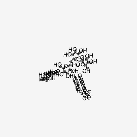 O.O.O.O.O.O.O.O.O.O.O.O.O=P(O)(O)O.O=S(=O)([O-])[O-].OC[C@H]1OC(OC[C@H]2OC(O[C@]3(CO)O[C@H](CO)[C@@H](O)[C@@H]3O)[C@H](O)[C@@H](O)[C@@H]2O)[C@H](O)[C@@H](O)[C@H]1O.[Mg+2]